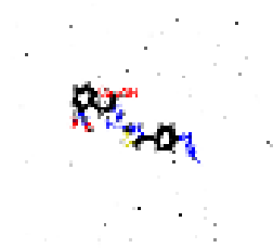 [N-]=[N+]=Nc1ccc(-c2csc(N/N=C(\Cc3ccccc3[N+](=O)[O-])C(=O)O)n2)cc1